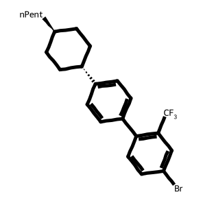 CCCCC[C@H]1CC[C@H](c2ccc(-c3ccc(Br)cc3C(F)(F)F)cc2)CC1